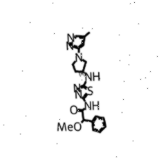 COC(C(=O)Nc1nnc(N[C@@H]2CCN(c3cc(C)cnn3)C2)s1)c1ccccc1